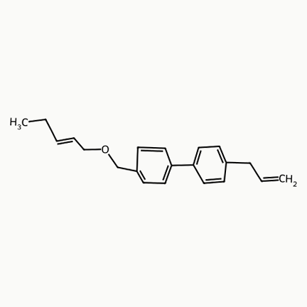 C=CCc1ccc(-c2ccc(COC/C=C/CC)cc2)cc1